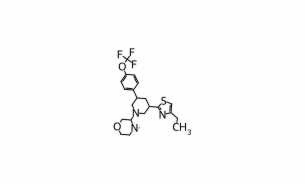 CCc1csc(C2CC(c3ccc(OC(F)(F)F)cc3)CN(C3COCC[N]3)C2)n1